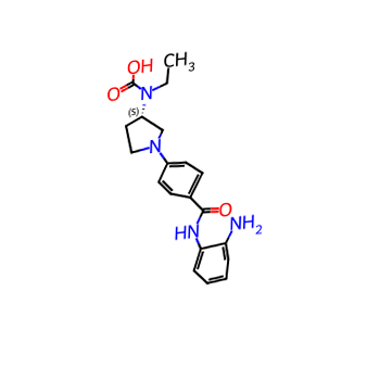 CCN(C(=O)O)[C@H]1CCN(c2ccc(C(=O)Nc3ccccc3N)cc2)C1